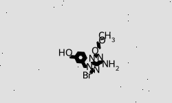 COCCOc1nc(N)c2nc(Br)n(Cc3cccc(CO)c3)c2n1